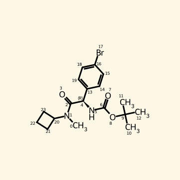 CN(C(=O)[C@H](NC(=O)OC(C)(C)C)c1ccc(Br)cc1)C1CCC1